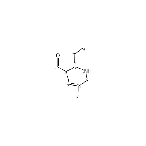 CCC1NSC(C)=CC1C=O